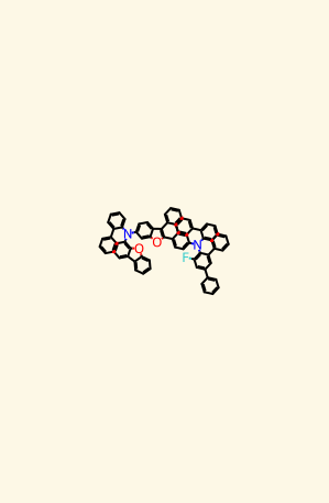 Fc1cc(-c2ccccc2)cc(-c2ccccc2)c1N(c1ccc2c(c1)c1ccccc1c1c3ccc(N(c4ccccc4-c4ccccc4)c4cccc5c4oc4ccccc45)cc3oc21)c1ccccc1-c1ccccc1